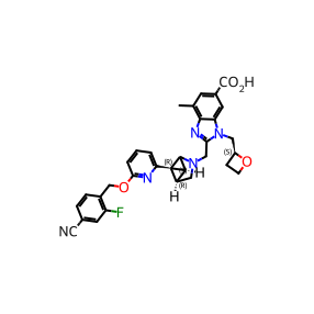 Cc1cc(C(=O)O)cc2c1nc(CN1C[C@@H]3[C@@H]4C1[C@@]34c1cccc(OCc3ccc(C#N)cc3F)n1)n2C[C@@H]1CCO1